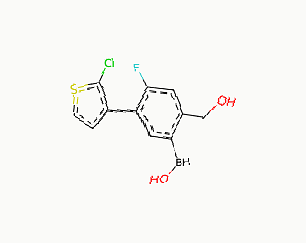 OBc1cc(-c2ccsc2Cl)c(F)cc1CO